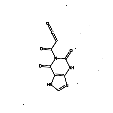 O=C=CC(=O)n1c(=O)[nH]c2nc[nH]c2c1=O